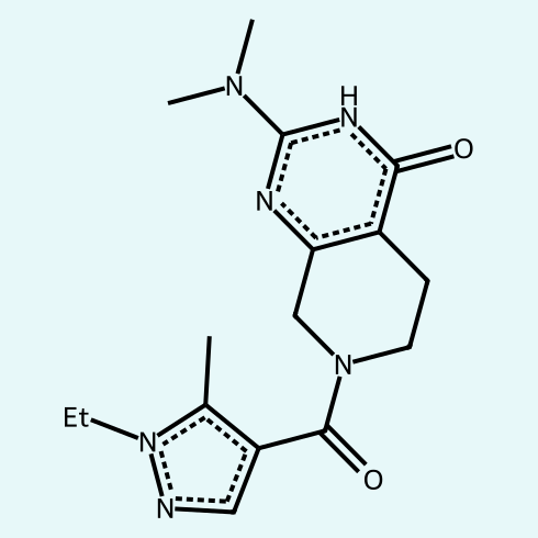 CCn1ncc(C(=O)N2CCc3c(nc(N(C)C)[nH]c3=O)C2)c1C